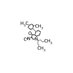 [C-]#[N+]c1cn(C(CCC)CCC)c2cccc(-c3ccc(C)cc3C)c2c1=O